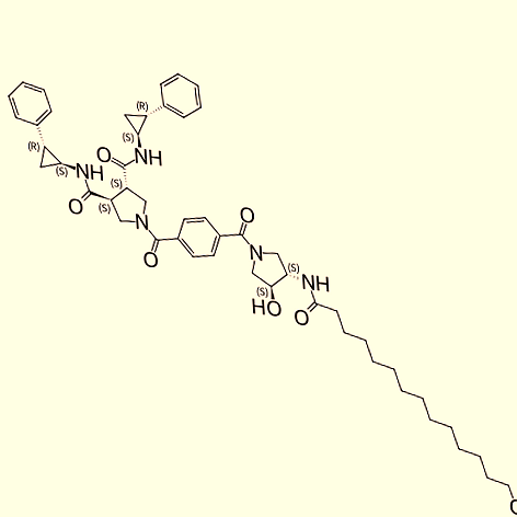 CCCCCCCCCCCCCCC(=O)N[C@H]1CN(C(=O)c2ccc(C(=O)N3C[C@@H](C(=O)N[C@H]4C[C@@H]4c4ccccc4)[C@H](C(=O)N[C@H]4C[C@@H]4c4ccccc4)C3)cc2)C[C@@H]1O